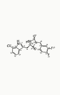 O=C1N[C@H](Cc2c[nH]c3c(Cl)cccc23)C(=O)N1Cc1ccc(F)c(F)c1